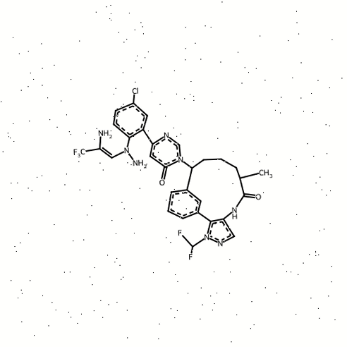 CC1CCCC(n2cnc(-c3cc(Cl)ccc3N(N)/C=C(\N)C(F)(F)F)cc2=O)c2cccc(c2)-c2c(cnn2C(F)F)NC1=O